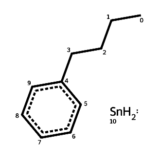 CCCCc1ccccc1.[SnH2]